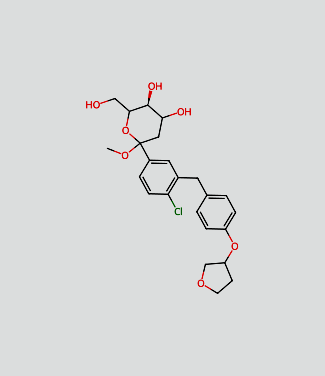 COC1(c2ccc(Cl)c(Cc3ccc(OC4CCOC4)cc3)c2)CC(O)[C@H](O)C(CO)O1